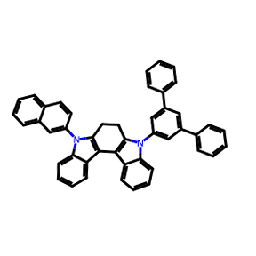 c1ccc(-c2cc(-c3ccccc3)cc(-n3c4c(c5ccccc53)-c3c(n(-c5ccc6ccccc6c5)c5ccccc35)CC4)c2)cc1